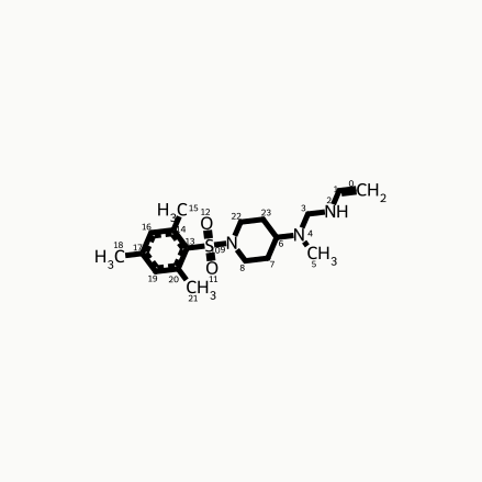 C=CNCN(C)C1CCN(S(=O)(=O)c2c(C)cc(C)cc2C)CC1